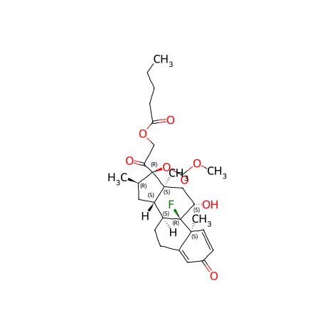 CCCCC(=O)OCC(=O)[C@@]1(OC(=O)OC)[C@H](C)C[C@H]2[C@@H]3CCC4=CC(=O)C=C[C@]4(C)[C@@]3(F)[C@@H](O)C[C@@]21C